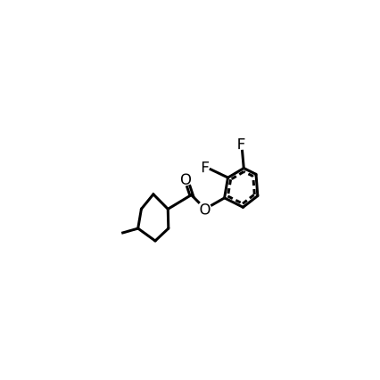 CC1CCC(C(=O)Oc2cccc(F)c2F)CC1